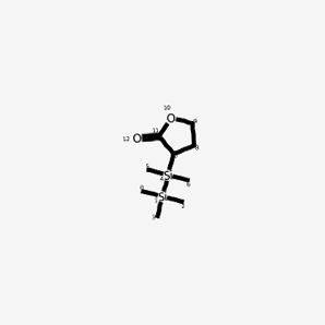 C[Si](C)(C)[Si](C)(C)C1CCOC1=O